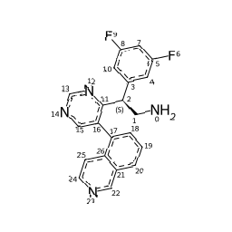 NC[C@H](c1cc(F)cc(F)c1)c1ncncc1-c1cccc2cnccc12